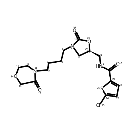 O=C(NC[C@H]1CN(CCCCN2CCOCC2=O)C(=O)O1)c1ccc(Cl)s1